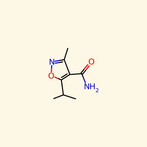 Cc1noc(C(C)C)c1C(N)=O